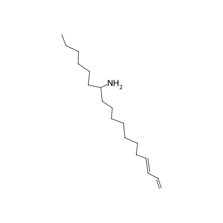 C=C/C=C/CCCCCCCC(N)CCCCCC